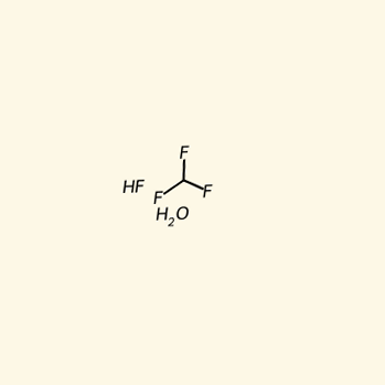 F.FC(F)F.O